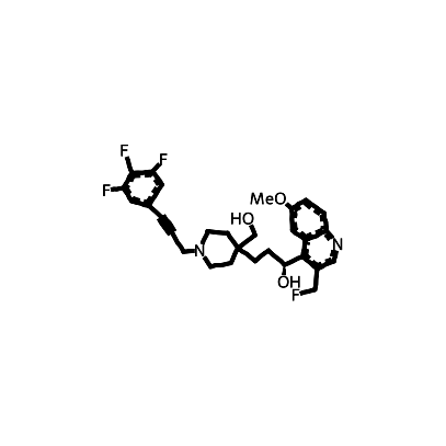 COc1ccc2ncc(CF)c([C@@H](O)CCC3(CO)CCN(CC#Cc4cc(F)c(F)c(F)c4)CC3)c2c1